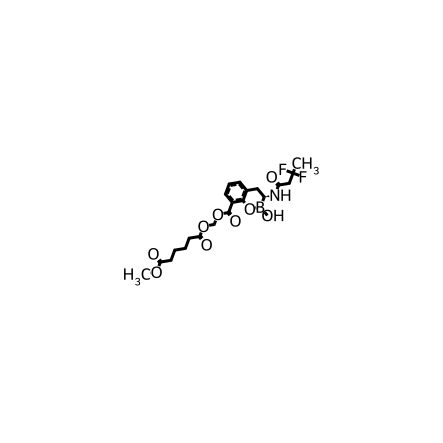 COC(=O)CCCCC(=O)OCOC(=O)c1cccc2c1OB(O)[C@@H](NC(=O)CC(C)(F)F)C2